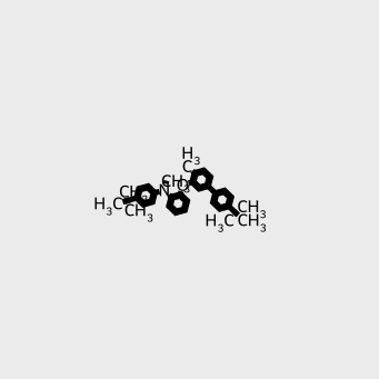 Cc1ccc(-c2ccc(C(C)(C)C)cc2)cc1Oc1ccccc1N(C)c1ccc(C(C)(C)C)cc1